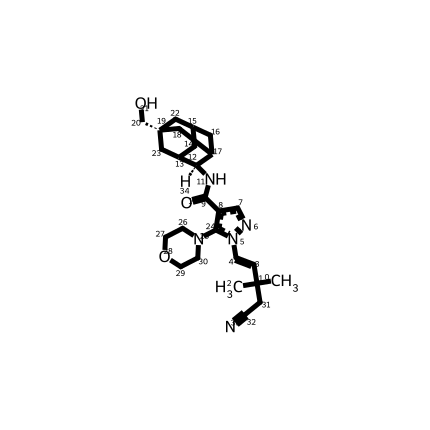 CC(C)(/C=C/n1ncc(C(=O)N[C@H]2C3CC4CC2C[C@](CO)(C4)C3)c1N1CCOCC1)CC#N